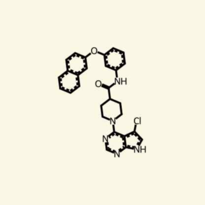 O=C(Nc1cccc(Oc2ccc3ccccc3c2)c1)C1CCN(c2ncnc3[nH]cc(Cl)c23)CC1